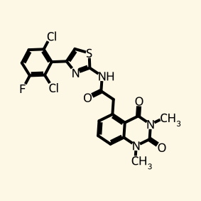 Cn1c(=O)c2c(CC(=O)Nc3nc(-c4c(Cl)ccc(F)c4Cl)cs3)cccc2n(C)c1=O